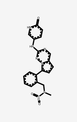 CN(Cc1ccccc1-c1ccc2cnc(Nc3ccc(=O)[nH]c3)nn12)[SH](=O)=O